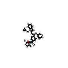 COc1cc(C(=O)N2C[C@H]3CC[C@@H]2[C@@H]3N)cc2nc(-c3cc4ccccc4n3CC3CC3)n(Cc3cccnc3)c12